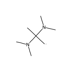 [CH2]C(C)(N(C)C)N(C)C